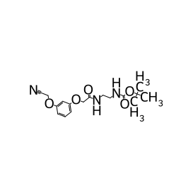 CC(C)(C)OC(=O)NCCNC(=O)COc1cccc(OCC#N)c1